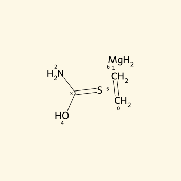 C=C.NC(O)=S.[MgH2]